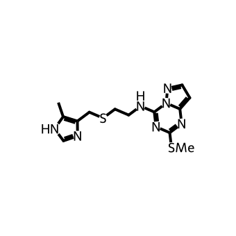 CSc1nc(NCCSCc2nc[nH]c2C)n2nccc2n1